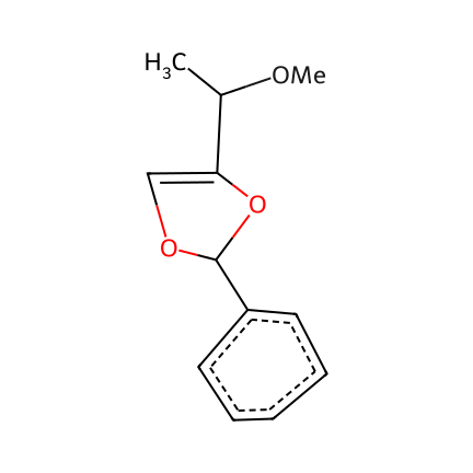 COC(C)C1=COC(c2ccccc2)O1